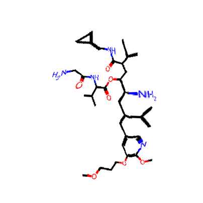 COCCCOc1cc(CC(C[C@H](N)C(CC(C(=O)NCC2CC2)C(C)C)OC(=O)C(NC(=O)CN)C(C)C)C(C)C)cnc1OC